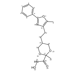 Cc1oc(-c2ccccc2)nc1CCC1COC(C)(C(=O)NO)OC1